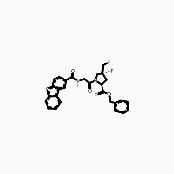 O=C(NCC(=O)N1C[C@@](F)(CF)C[C@H]1C(=O)OCc1ccccc1)c1ccc2sc3ccccc3c2c1